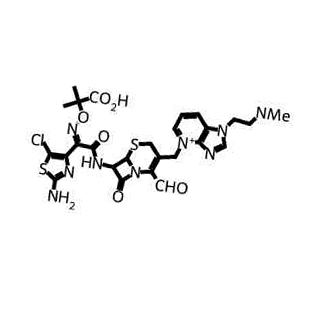 CNCCn1cnc2c1ccc[n+]2CC1=C(C=O)N2C(=O)C(NC(=O)/C(=N\OC(C)(C)C(=O)O)c3nc(N)sc3Cl)C2SC1